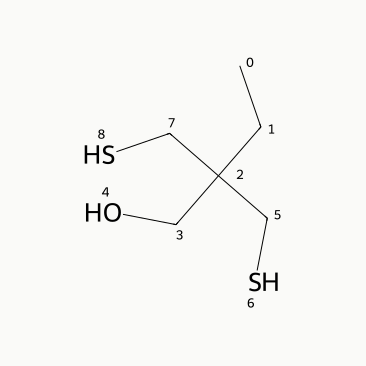 CCC(CO)(CS)CS